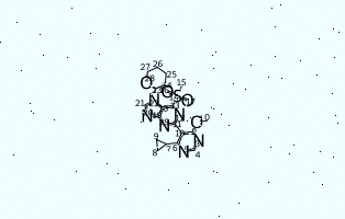 COc1ncnc(C2CC2)c1-c1nc(S(C)(=O)=O)c2c(ncn2C2CCCCO2)n1